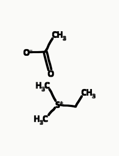 CC(=O)[O-].CC[S+](C)C